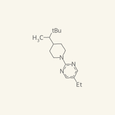 CCc1cnc(N2CCC(C(C)C(C)(C)C)CC2)nc1